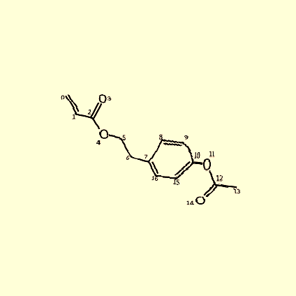 C=CC(=O)OCCc1ccc(OC(C)=O)cc1